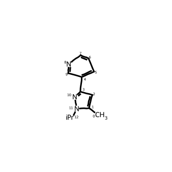 Cc1cc(-c2cccnc2)nn1C(C)C